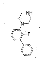 CC1CNCCN1c1cccc(-c2ccccc2)c1F